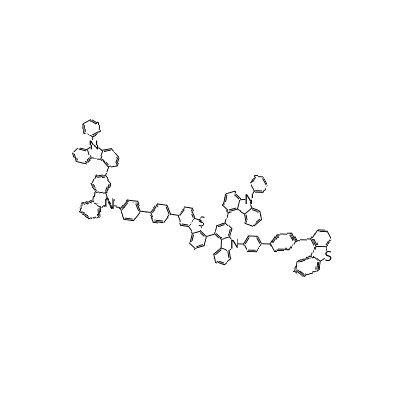 c1ccc(-n2c3ccccc3c3c(-c4ccc5c6ccccc6n(-c6ccc(-c7ccc(-c8ccc9sc%10c(-c%11cc(-c%12cccc%13c%12c%12ccccc%12n%13-c%12ccccc%12)cc%12c%11c%11ccccc%11n%12-c%11ccc(-c%12ccc(-c%13cccc%14sc%15ccccc%15c%13%14)cc%12)cc%11)cccc%10c9c8)cc7)cc6)c5c4)cccc32)cc1